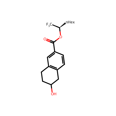 CCCCCC[C@@H](OC(=O)c1ccc2c(c1)CCC(O)C2)C(F)(F)F